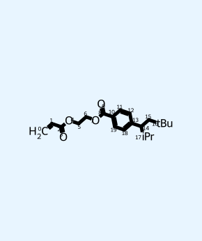 C=CC(=O)OCCOC(=O)c1ccc(C(CC(C)(C)C)C(C)C)cc1